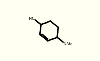 CNC1C=CC(C#N)CC1